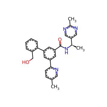 Cc1ccc(-c2cc(C(=O)N[C@H](C)c3cnc(C)nc3)cc(-c3ccccc3CO)c2)nc1